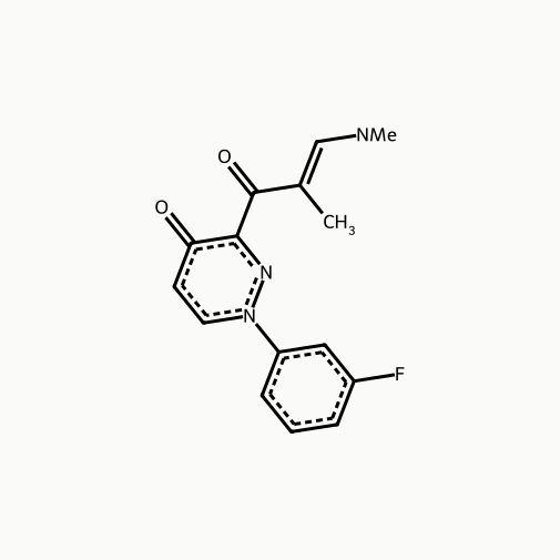 CN/C=C(\C)C(=O)c1nn(-c2cccc(F)c2)ccc1=O